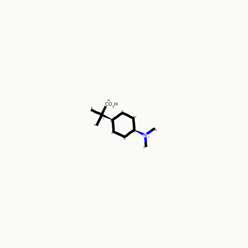 CN(C)[C@H]1CC[C@@H](C(C)(C)C(=O)O)CC1